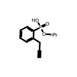 C#CCc1ccccc1P(=O)(O)OCCC